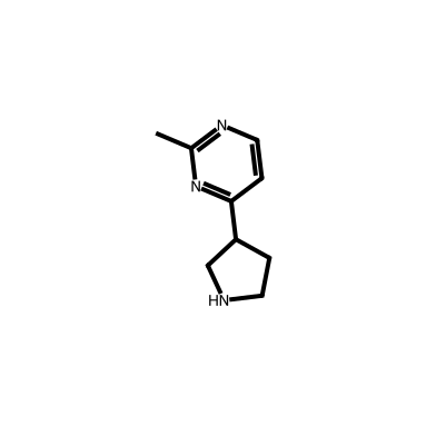 Cc1nccc(C2CCNC2)n1